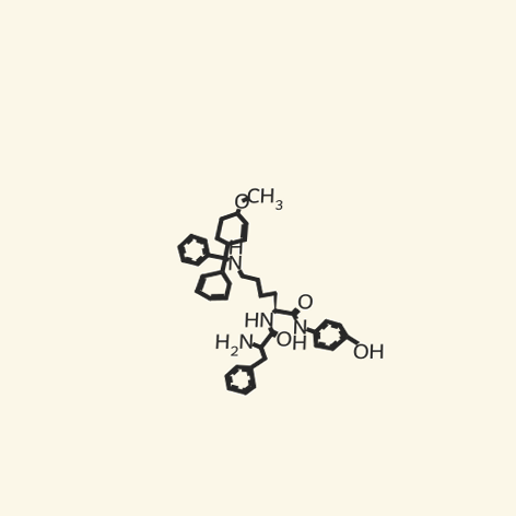 COC1C=CC(C(NCCCC[C@H](NC(=O)C(N)Cc2ccccc2)C(=O)Nc2ccc(CO)cc2)(c2ccccc2)C2C=CC=CC2)CC1